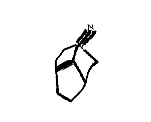 CN1CC2CCC(C1)C2C#N